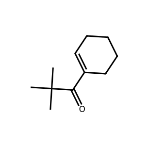 CC(C)(C)C(=O)C1=CCCCC1